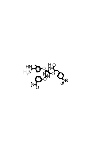 Cc1cc(Oc2nc(Oc3cccc(C(=O)N(C)C)c3)nc3c2NC(=O)C(CC2=CCC(=S(=O)=O)C=C2)O3)ccc1C(=N)N